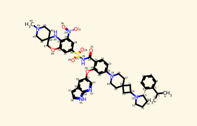 CC(C)c1ccccc1[C@@H]1CCCN1C1CC2(CCN(c3ccc(C(=O)NS(=O)(=O)c4cc5c(c([N+](=O)[O-])c4)NC4(CCN(C)CC4)CO5)c(Oc4cnc5[nH]ccc5c4)c3)CC2)C1